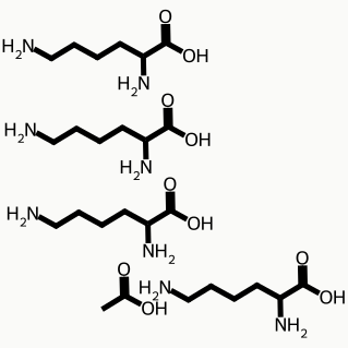 CC(=O)O.NCCCCC(N)C(=O)O.NCCCCC(N)C(=O)O.NCCCCC(N)C(=O)O.NCCCCC(N)C(=O)O